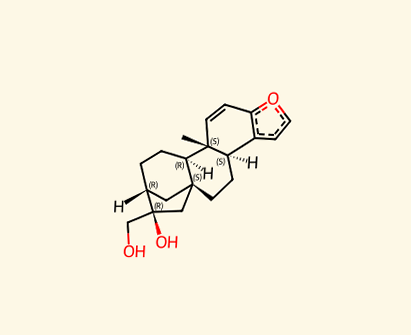 C[C@@]12C=Cc3occc3[C@H]1CC[C@@]13C[C@@H](CC[C@H]12)[C@@](O)(CO)C3